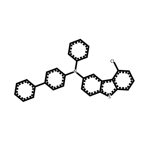 Clc1cccc2sc3ccc(N(c4ccccc4)c4ccc(-c5ccccc5)cc4)cc3c12